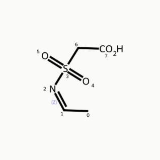 C/C=N\S(=O)(=O)CC(=O)O